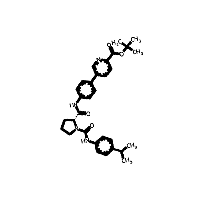 CC(C)c1ccc(NC(=O)N2CCC[C@@H]2C(=O)Nc2ccc(-c3ccc(C(=O)OC(C)(C)C)nc3)cc2)cc1